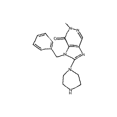 Cn1ncc2nc(N3CCNCC3)n(Cc3ccccc3)c2c1=O